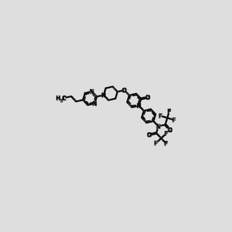 CCCc1cnc(N2CCC(Oc3ccn(-c4ccc(N(C(=O)C(F)(F)F)C(=O)C(F)(F)F)cc4)c(=O)c3)CC2)nc1